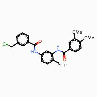 COc1ccc(C(=O)Nc2cc(NC(=O)c3cccc(CCl)c3)ccc2C)cc1OC